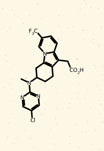 CN(c1ncc(Cl)cn1)C1CCc2c(CC(=O)O)c3ccc(C(F)(F)F)cn3c2C1